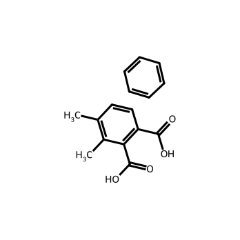 Cc1ccc(C(=O)O)c(C(=O)O)c1C.c1ccccc1